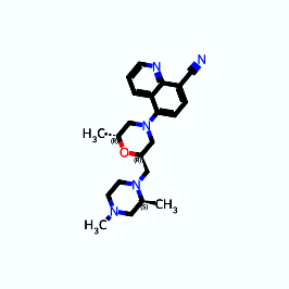 C[C@@H]1CN(c2ccc(C#N)c3ncccc23)C[C@@H](CN2CCN(C)C[C@@H]2C)O1